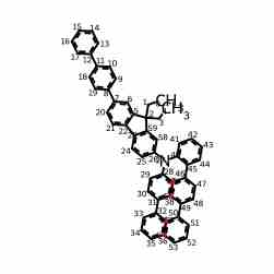 CCC1(CC)c2cc(-c3ccc(-c4ccccc4)cc3)ccc2-c2ccc(N(c3ccc(-c4ccccc4)cc3)c3ccccc3-c3ccc(-c4ccccc4)cc3)cc21